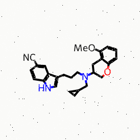 COc1cccc2c1CC(N(CCCc1c[nH]c3ccc(C#N)cc13)CC1CC1)CO2